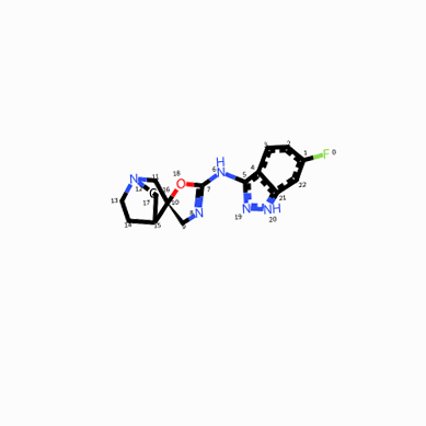 Fc1ccc2c(NC3=NC[C@@]4(CN5CCC4CC5)O3)n[nH]c2c1